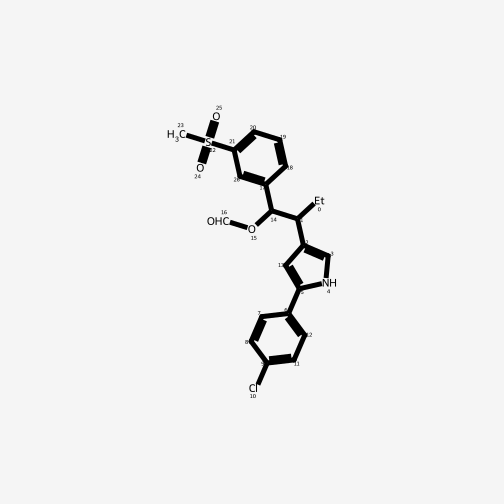 CCC(c1c[nH]c(-c2ccc(Cl)cc2)c1)C(OC=O)c1cccc(S(C)(=O)=O)c1